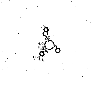 C[C@@H]1CN(S(=O)(=O)N2CCc3cc(Cl)ccc3C2)CCCN(CC2CCCCC2)CCCN(S(=O)(=O)c2ccc(N(C)C)cc2)[C@@H]1C